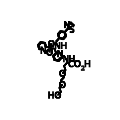 O=C(O)C(CCOCCOCCO)Nc1cccc(C(NCc2ccc(-c3nccs3)cc2)S(=O)(=O)c2ccccn2)n1